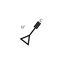 [C-]#CC1CC1.[Li+]